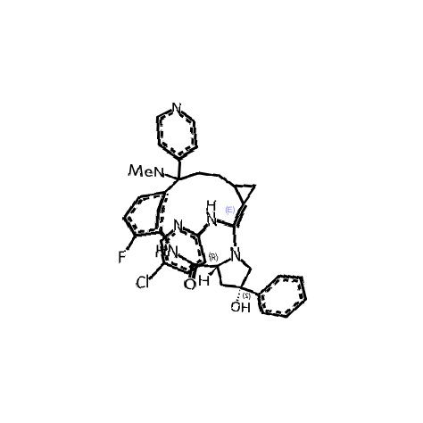 CNC1(c2ccncc2)CCC2C/C2=C(/Nc2ccc(Cl)cn2)N2C[C@@](O)(c3ccccc3)C[C@@H]2C(=O)Nc2cc1ccc2F